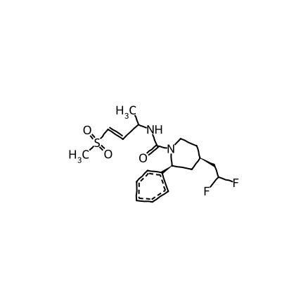 CC(/C=C/S(C)(=O)=O)NC(=O)N1CC[C@@H](CC(F)F)C[C@H]1c1ccccc1